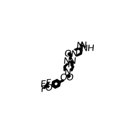 O=C(OCc1ccc(OC(F)(F)F)cc1)N1CCc2nc(C(=O)N3CCc4[nH]nnc4C3)nn2CC1